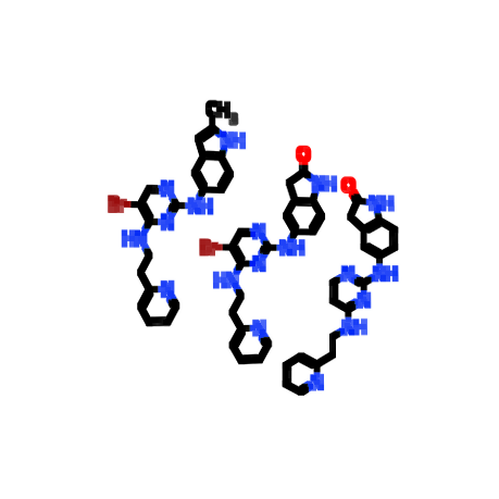 Cc1cc2cc(Nc3ncc(Br)c(NCCc4ccccn4)n3)ccc2[nH]1.O=C1Cc2cc(Nc3ncc(Br)c(NCCc4ccccn4)n3)ccc2N1.O=C1Cc2cc(Nc3nccc(NCCc4ccccn4)n3)ccc2N1